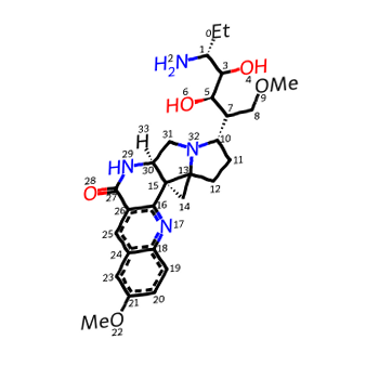 CC[C@@H](N)C(O)[C@H](O)C(COC)[C@@H]1CCC23C[C@@]24c2nc5ccc(OC)cc5cc2C(=O)N[C@H]4CN13